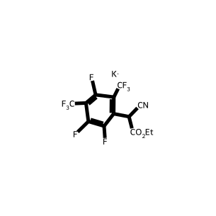 CCOC(=O)C(C#N)c1c(F)c(F)c(C(F)(F)F)c(F)c1C(F)(F)F.[K]